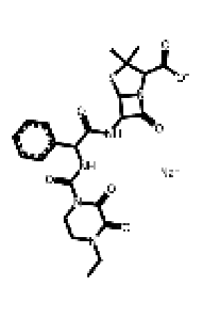 CCN1CCN(C(=O)NC(C(=O)NC2C(=O)N3C2SC(C)(C)C3C(=O)[O-])c2ccccc2)C(=O)C1=O.[Na+]